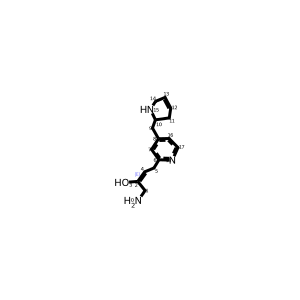 NC/C(O)=C\Cc1cc(CC2CC=CCN2)ccn1